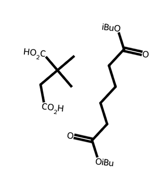 CC(C)(CC(=O)O)C(=O)O.CC(C)COC(=O)CCCCC(=O)OCC(C)C